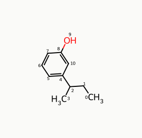 CCC(C)c1cccc(O)c1